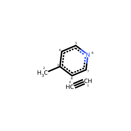 C#C.Cc1ccncc1